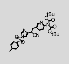 Cc1ccc(S(=O)(=O)n2cnc(C(C#N)Cc3ccc(N(C(=O)OC(C)(C)C)C(=O)OC(C)(C)C)nc3)c2)cc1